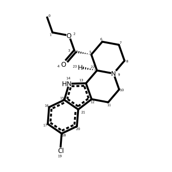 CCOC(=O)[C@@H]1CCCN2CCc3c([nH]c4ccc(Cl)cc34)[C@@H]12